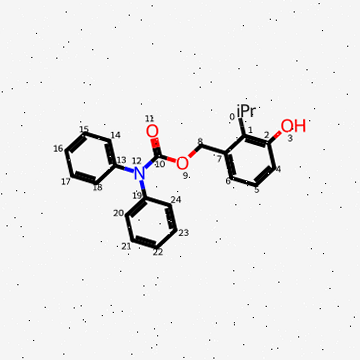 CC(C)c1c(O)cccc1COC(=O)N(c1ccccc1)c1ccccc1